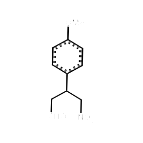 COc1ccc(C(CC=O)C[N+](=O)[O-])cc1